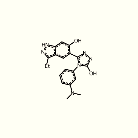 CCc1n[nH]c2cc(O)c(-c3nnc(O)n3-c3cccc(N(C)C)c3)cc12